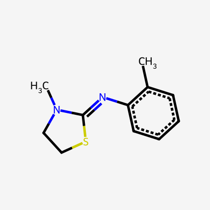 Cc1ccccc1N=C1SCCN1C